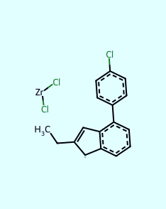 CCC1=Cc2c(cccc2-c2ccc(Cl)cc2)[CH]1.[Cl][Zr][Cl]